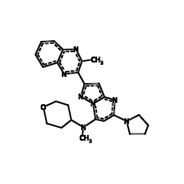 Cc1nc2ccccc2nc1-c1cc2nc(N3CCCC3)cc(N(C)C3CCOCC3)n2n1